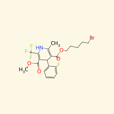 COC(=O)C1=C(C(F)(F)F)NC(C)=C(C(=O)OCCCCCBr)C1c1ccccc1F